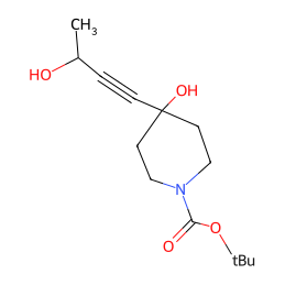 CC(O)C#CC1(O)CCN(C(=O)OC(C)(C)C)CC1